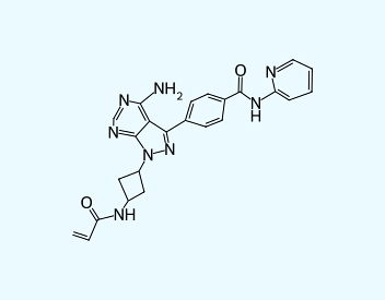 C=CC(=O)NC1CC(n2nc(-c3ccc(C(=O)Nc4ccccn4)cc3)c3c(N)ncnc32)C1